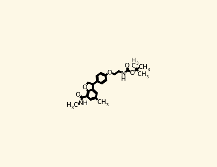 CNC(=O)c1cc(C)cc2c1OCC2c1ccc(OCCNC(=O)OC(C)(C)C)cc1